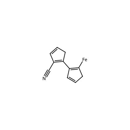 N#CC1=C(C2=[C]([Fe])CC=C2)CC=C1